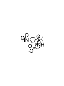 COC(=O)Nc1ccc(S(=O)(=O)C(C)C)c([C@@H]2NCC[C@@H]2C(=O)OC)c1